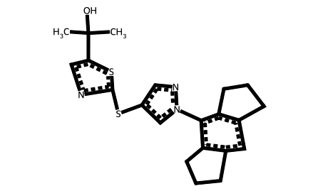 CC(C)(O)c1cnc(Sc2cnn(-c3c4c(cc5c3CCC5)CCC4)c2)s1